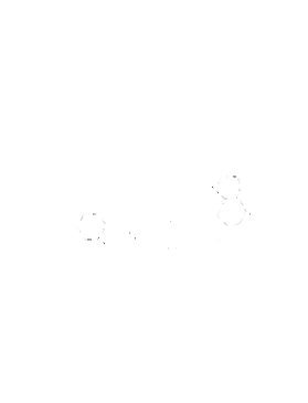 COc1ccc2ncc(F)c(C[C@H](O)[C@@H]3CC[C@@H](NCc4cc5c(cn4)OCS5)CO3)c2n1